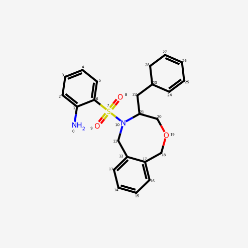 Nc1ccccc1S(=O)(=O)N1Cc2ccccc2COCC1CC1C=CC=CC1